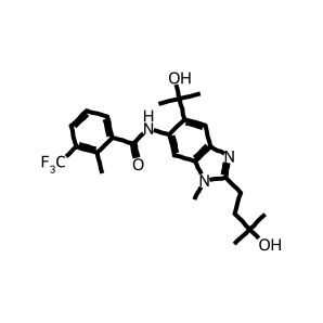 Cc1c(C(=O)Nc2cc3c(cc2C(C)(C)O)nc(CCC(C)(C)O)n3C)cccc1C(F)(F)F